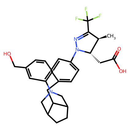 C[C@@H]1C(C(F)(F)F)=NN(c2ccc(CC3C4CCC3CN(c3cccc(CO)c3)C4)cc2)[C@H]1CC(=O)O